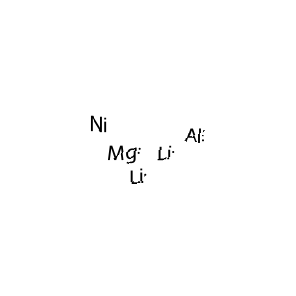 [Al].[Li].[Li].[Mg].[Ni]